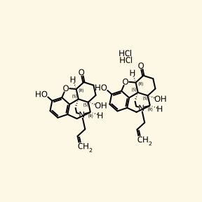 C=CCN1CC[C@]23c4c5ccc(O)c4O[C@H]2C(=O)CC[C@@]3(O)[C@H]1C5.C=CCN1CC[C@]23c4c5ccc(O)c4O[C@H]2C(=O)CC[C@@]3(O)[C@H]1C5.Cl.Cl